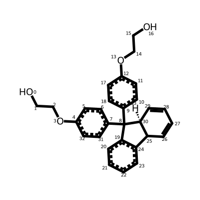 OCCOc1ccc(C2(c3ccc(OCCO)cc3)c3ccccc3C3C=CC=C[C@@H]32)cc1